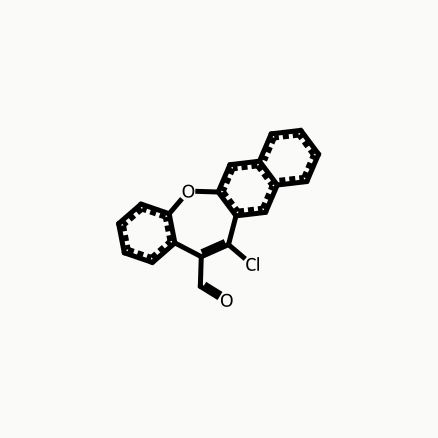 O=CC1=C(Cl)c2cc3ccccc3cc2Oc2ccccc21